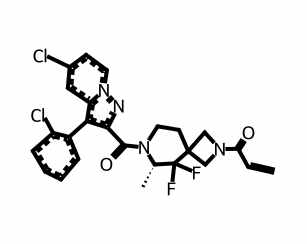 C=CC(=O)N1CC2(CCN(C(=O)c3nn4ccc(Cl)cc4c3-c3ccccc3Cl)[C@@H](C)C2(F)F)C1